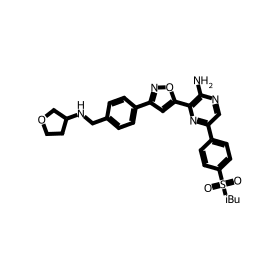 CCC(C)S(=O)(=O)c1ccc(-c2cnc(N)c(-c3cc(-c4ccc(CNC5CCOC5)cc4)no3)n2)cc1